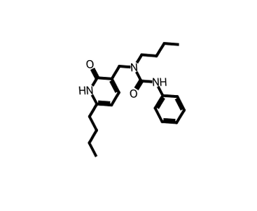 CCCCc1ccc(CN(CCCC)C(=O)Nc2ccccc2)c(=O)[nH]1